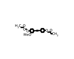 C=CC(=O)COc1ccc(C#Cc2ccc(OCOC(=O)C=C)c(OC)c2)cc1